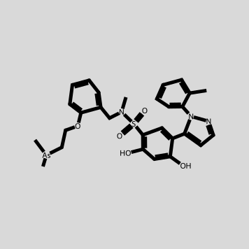 Cc1ccccc1-n1nccc1-c1cc(S(=O)(=O)N(C)Cc2ccccc2OCC[As](C)C)c(O)cc1O